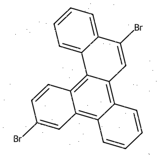 Brc1ccc2c(c1)c1ccccc1c1cc(Br)c3ccccc3c21